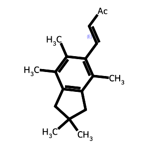 CC(=O)/C=C/c1c(C)c(C)c2c(c1C)CC(C)(C)C2